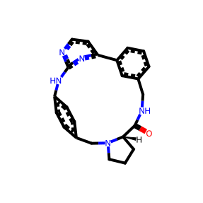 O=C1NCc2cccc(c2)-c2ccnc(n2)Nc2ccc(cc2)CN2CCC[C@@H]12